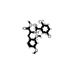 COC(=O)C(Cc1c#cc(OC)cc1OC)NC(=O)c1cc(Cl)ccc1Cl